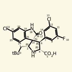 CC(C)(C)C[C@H]1N[C@@H](C(=O)O)[C@H](c2cc(F)cc(Cl)c2)[C@@]12C(=O)Nc1cc(Cl)ccc12